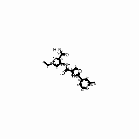 CCn1cc(NC(=O)c2coc(-c3ccnc(C)c3)n2)c(C(N)=O)n1